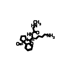 CNCC(=O)N[C@@H](CCCCN)C(=O)N1CCC[C@]1([C]=O)c1ccccc1